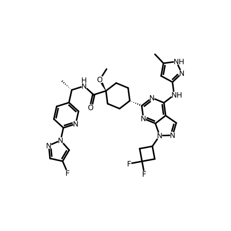 CO[C@]1(C(=O)N[C@@H](C)c2ccc(-n3cc(F)cn3)nc2)CC[C@@H](c2nc(Nc3cc(C)[nH]n3)c3cnn(C4CC(F)(F)C4)c3n2)CC1